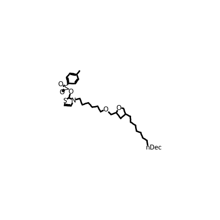 CCCCCCCCCCCCCCCCCC1COC(COCCCCCCN2C=CSC2OS(=O)(=O)c2ccc(C)cc2)C1